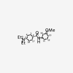 CCN(CC)c1ccc(C(=O)Nc2cccc(OC)c2)cc1